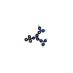 Fc1ccc(N(c2ccc(F)cc2)c2ccc(-c3ccc4c(c3)c3cc(-c5ccc(N(c6ccc(F)cc6)c6ccc(F)cc6)cc5)ccc3n4-c3ccc(-c4c5ccccc5c(-c5ccccc5)c5ccccc45)cc3)cc2)cc1